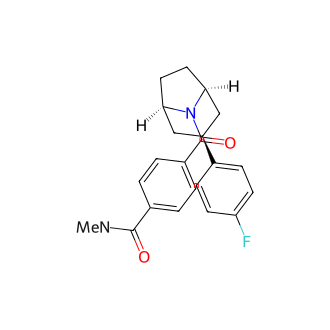 CNC(=O)c1ccc(C(=O)N2[C@@H]3CC[C@H]2C[C@@H](c2ccc(F)cc2)C3)cc1